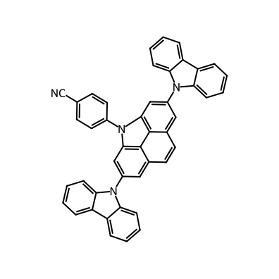 N#Cc1ccc(-n2c3cc(-n4c5ccccc5c5ccccc54)cc4ccc5cc(-n6c7ccccc7c7ccccc76)cc2c5c43)cc1